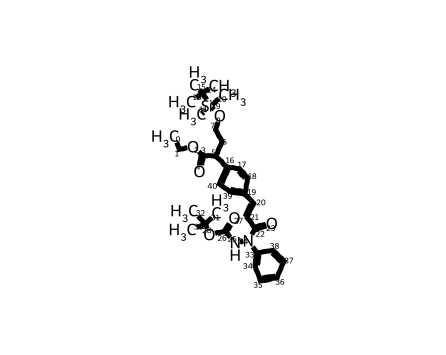 CCOC(=O)C(CCO[Si](C)(C)C(C)(C)C)c1ccc(C=CC(=O)N(NC(=O)OC(C)(C)C)c2ccccc2)cc1